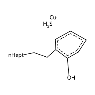 CCCCCCCCCc1ccccc1O.S.[Cu]